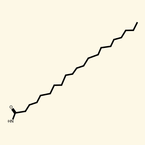 CCCCCCCCCCCCCCCCCCCCC([NH])=O